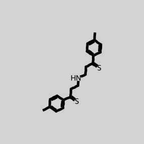 Cc1ccc(C(=S)CCNCCC(=S)c2ccc(C)cc2)cc1